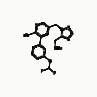 CCCc1ncc(Cn2ncnc2COC)cc1-c1cccc(OC(F)F)c1